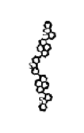 c1ccc2c(c1)sc1c(-c3ccc4ccc5c(-c6ccc7sc8ccc(-c9ccc%10ccc%11c(-c%12cccc%13c%12sc%12ccccc%12%13)ccc%12ccc9c%10c%12%11)cc8c7c6)ccc6ccc3c4c65)cccc12